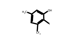 Cc1cc(O)c(I)c(C(F)(F)F)c1